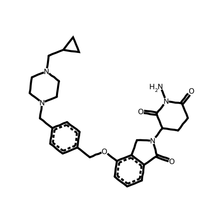 NN1C(=O)CCC(N2Cc3c(OCc4ccc(CN5CCN(CC6CC6)CC5)cc4)cccc3C2=O)C1=O